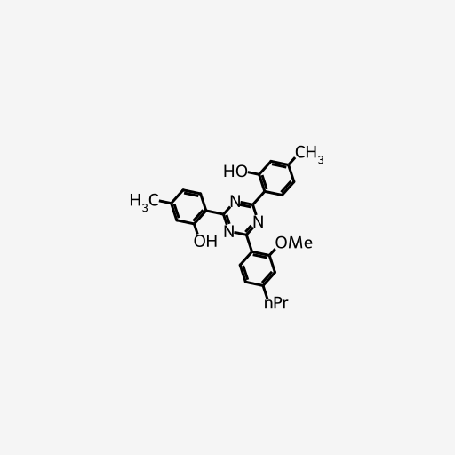 CCCc1ccc(-c2nc(-c3ccc(C)cc3O)nc(-c3ccc(C)cc3O)n2)c(OC)c1